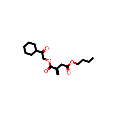 C=C(CC(=O)OCCCC)C(=O)OCC(=O)C1CCCCC1